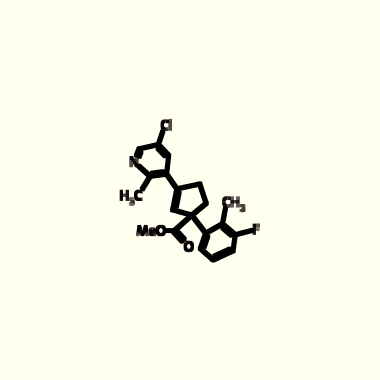 COC(=O)C1(c2cccc(F)c2C)C=C(c2cc(Cl)cnc2C)CC1